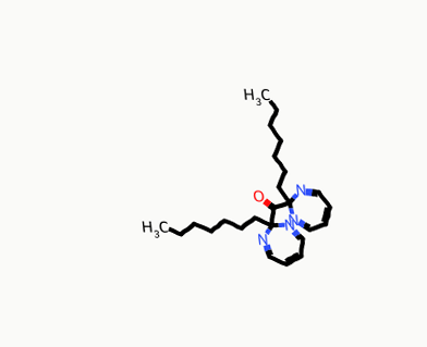 CCCCCCCC1(C(=O)C2(CCCCCCC)N=CC=CC=N2)N=CC=CC=N1